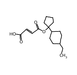 CCC1CCC(C2(OC(=O)/C=C/C(=O)O)CCCC2)CC1